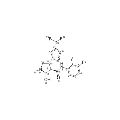 Cc1c(F)cccc1NC(=O)[C@H]1C(O)N(C)C[C@@H]1c1cc(C(F)F)cs1